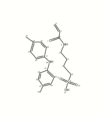 C=CC(=O)NCCCCS(=O)(=O)O.Cc1ccc(Nc2ccc(C)cc2)cc1